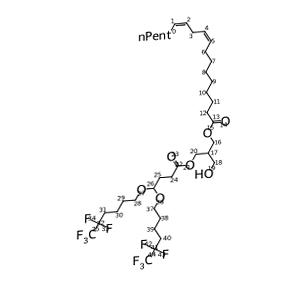 CCCCC/C=C\C/C=C\CCCCCCCC(=O)OCC(CO)COC(=O)CCC(OCCCCC(F)(F)C(F)(F)F)OCCCCC(F)(F)C(F)(F)F